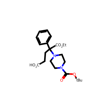 CCOC(=O)C(CCC(=O)O)(c1ccccc1)N1CCN(C(=O)OC(C)(C)C)CC1